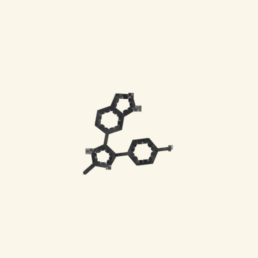 Cc1nc(-c2ccc(F)cc2)c(-c2ccc3cn[nH]c3c2)[nH]1